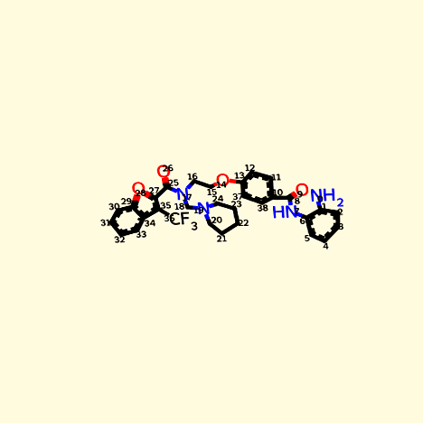 Nc1ccccc1NC(=O)c1ccc(OCCN(CN2CCCCC2)C(=O)c2oc3ccccc3c2C(F)(F)F)cc1